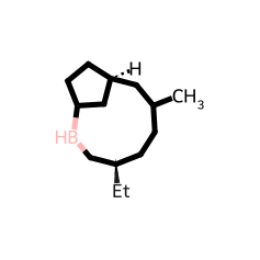 CC[C@H]1CBC2CC[C@@H](CC(C)CC1)C2